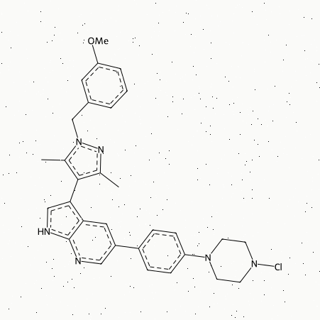 COc1cccc(Cn2nc(C)c(-c3c[nH]c4ncc(-c5ccc(N6CCN(Cl)CC6)cc5)cc34)c2C)c1